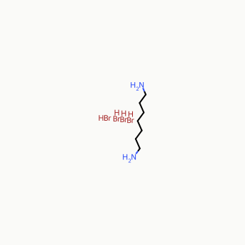 Br.Br.Br.Br.NCCCCCCCN